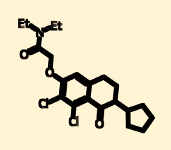 CCN(CC)C(=O)COc1cc2c(c(Cl)c1Cl)C(=O)C(C1CCCC1)CC2